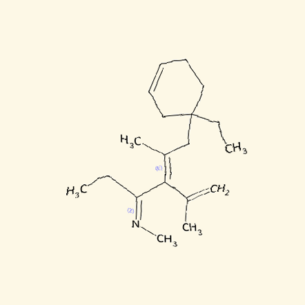 C=C(C)C(/C(CC)=N\C)=C(/C)CC1(CC)CC=CCC1